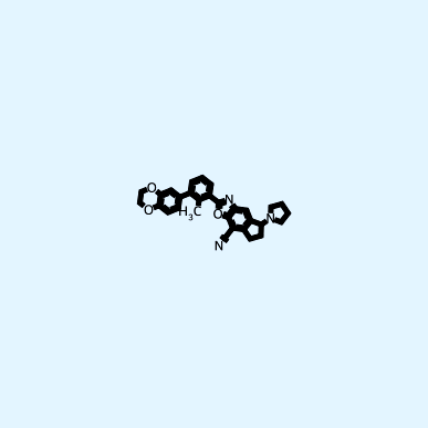 Cc1c(-c2ccc3c(c2)OCCO3)cccc1-c1nc2cc3c(c(C#N)c2o1)CCC3N1CCCC1